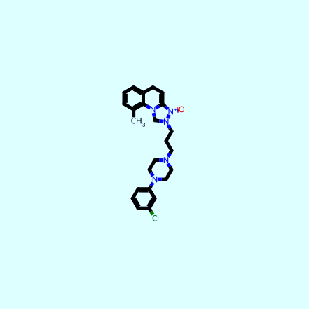 Cc1cccc2c1N1CN(CCCN3CCN(c4cccc(Cl)c4)CC3)[N+](=O)C1=CC2